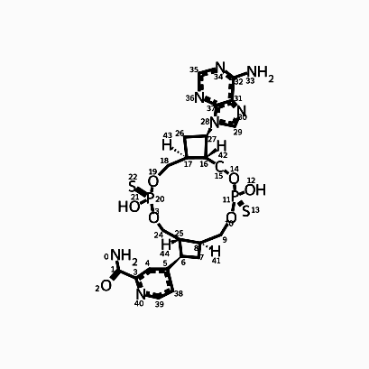 NC(=O)c1cc([C@@H]2C[C@@H]3COP(O)(=S)OC[C@@H]4[C@@H](COP(O)(=S)OC[C@H]32)C[C@H]4n2cnc3c(N)ncnc32)ccn1